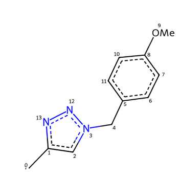 [CH2]c1cn(Cc2ccc(OC)cc2)nn1